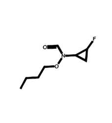 CCCCON(C=O)C1CC1F